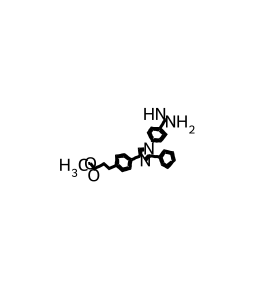 COC(=O)CCc1ccc(-c2cn(-c3ccc(C(=N)N)cc3)c(-c3ccccc3)n2)cc1